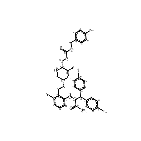 C[C@H]1O[C@H](CCc2c(F)cccc2N[C@H](C(N)=O)C(c2ccc(F)cc2)c2ccc(F)cc2)CN[C@@H]1COC(=O)NCc1ccc(F)cc1